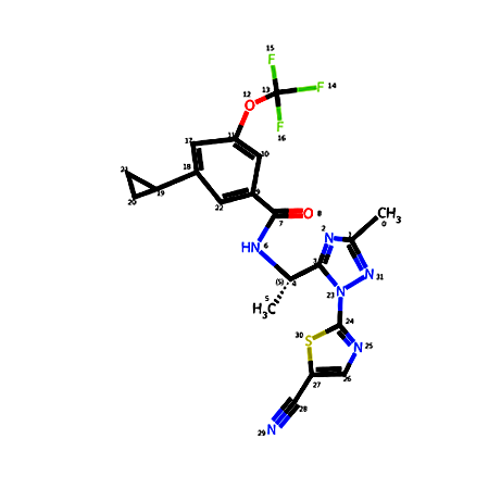 Cc1nc([C@H](C)NC(=O)c2cc(OC(F)(F)F)cc(C3CC3)c2)n(-c2ncc(C#N)s2)n1